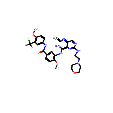 C=C/N=C1/C=NC(NCCN2CCOCC2)=N/C1=C(/N)Nc1cc(C(=O)Nc2ccc(OC)c(C(F)(F)F)c2)ccc1OC